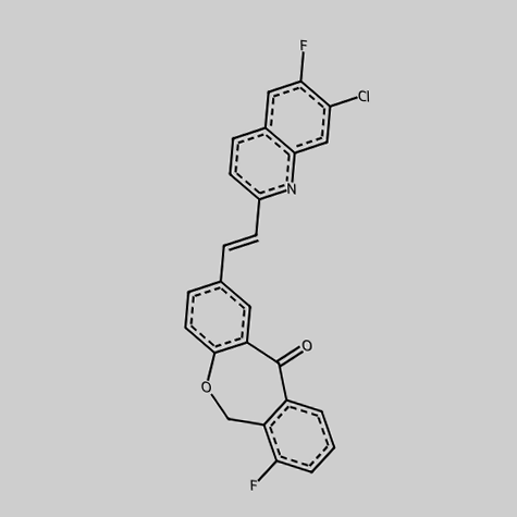 O=C1c2cc(C=Cc3ccc4cc(F)c(Cl)cc4n3)ccc2OCc2c(F)cccc21